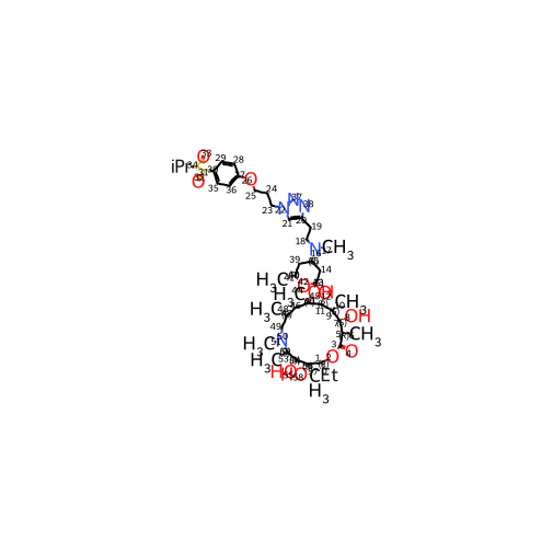 CC[C@H]1OC(=O)[C@H](C)[C@@H](O)[C@H](C)[C@@H](O[C@H]2C[C@@H](N(C)CCc3cn(CCCOc4ccc(S(=O)(=O)C(C)C)cc4)nn3)C[C@@H](C)O2)[C@](C)(O)C[C@@H](C)CN(C)[C@H](C)[C@@H](O)[C@]1(C)O